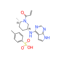 C=CC(=O)N1C[C@H](Nc2ncnc3[nH]ccc23)CC[C@@H]1C.Cc1ccc(S(=O)(=O)O)cc1